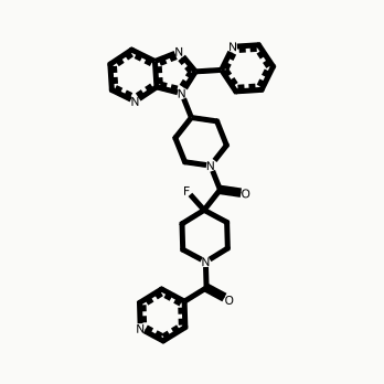 O=C(c1ccncc1)N1CCC(F)(C(=O)N2CCC(n3c(-c4ccccn4)nc4cccnc43)CC2)CC1